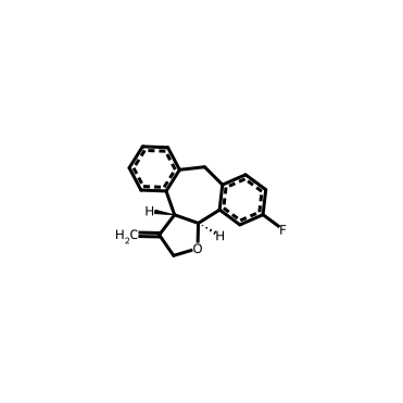 C=C1CO[C@@H]2c3cc(F)ccc3Cc3ccccc3[C@@H]12